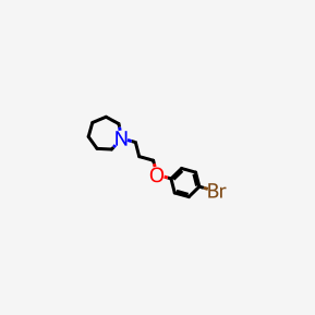 Brc1ccc(OCCCN2CCCCCC2)cc1